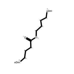 [CH2]CCCCCCCCCCCCCOC(=O)CCCCCCCCCCCCC